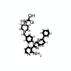 Nc1ncccc1-c1nc2ccc(-c3ccccc3)nc2n1-c1ccc(CN2CCN(NC(=O)O)CC2)cc1